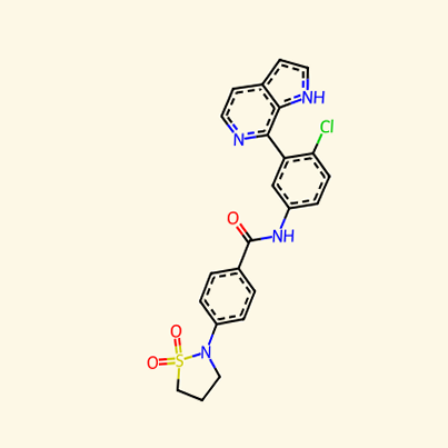 O=C(Nc1ccc(Cl)c(-c2nccc3cc[nH]c23)c1)c1ccc(N2CCCS2(=O)=O)cc1